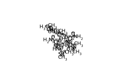 CCn1nc(C)cc1C(=O)Nc1nc2cc(C(N)=O)cc(OC)c2n1C/C=C/Cn1c(NC(=O)c2cc(C)nn2CC)nc2cc(C(N)=O)cc(OCC#CC(C)(C)N3CCN(C(=O)OC(C)(C)C)CC3)c21